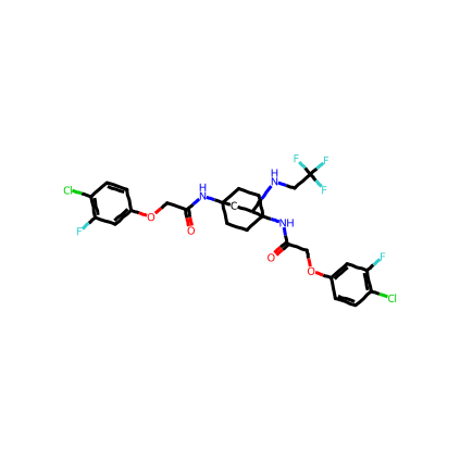 O=C(COc1ccc(Cl)c(F)c1)NC12CCC(NC(=O)COc3ccc(Cl)c(F)c3)(CC1)C(NCC(F)(F)F)C2